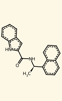 C[C@@H](NC(=O)c1cc2ccccc2[nH]1)c1cccc2ccccc12